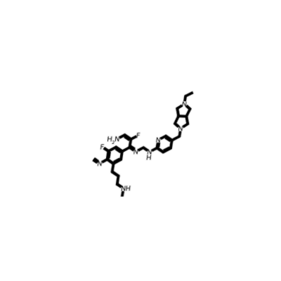 C=Nc1c(F)cc(C(=N/CNc2ccc(CN3CC4CN(CC)CC4C3)cn2)/C(F)=C\N)cc1CCCNC